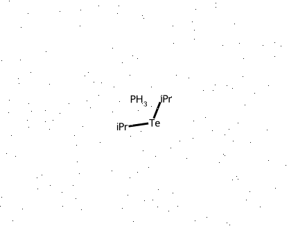 CC(C)[Te]C(C)C.P